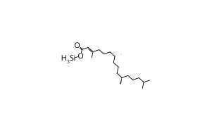 C/C(=C\C(=O)O[SiH3])CCC[C@H](C)CCC[C@H](C)CCCC(C)C